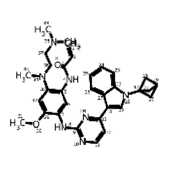 C=CC(=O)Nc1cc(Nc2nccc(-c3cn(C45CC(C4)C5)c4ccccc34)n2)c(OC)cc1N(C)CCN(C)C